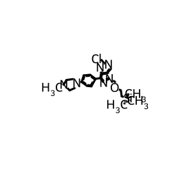 CN1CCN(c2ccc(-c3nn(COCC[Si](C)(C)C)c4cnc(Cl)nc34)cc2)CC1